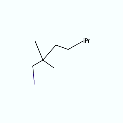 CC(C)CCC(C)(C)CI